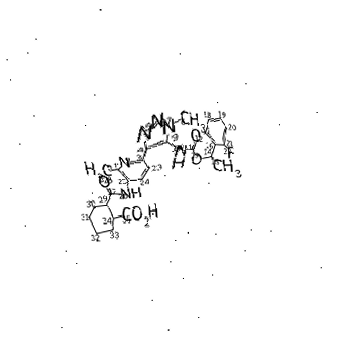 Cc1nc(-c2nnn(C)c2NC(=O)O[C@H](C)c2ccccc2F)ccc1NC(=O)C1CCCCC1C(=O)O